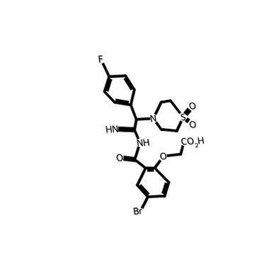 N=C(NC(=O)c1cc(Br)ccc1OCC(=O)O)C(c1ccc(F)cc1)N1CCS(=O)(=O)CC1